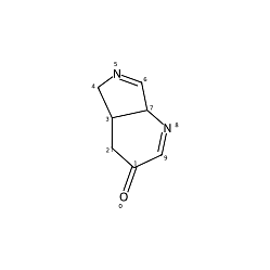 O=C1[CH]C2CN=CC2N=C1